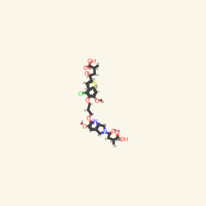 COc1cc2c(nc1OCCCOc1c(OC)cc3sc(C(=O)CC(C)C(=O)O)cc3c1Cl)CN(C(=O)CC(C)C(=O)O)C2